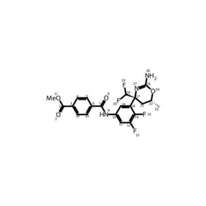 COC(=O)c1ccc(C(=O)Nc2cc(F)c(F)c([C@@]3(C(F)F)C[C@@H](C)OC(N)=N3)c2)cc1